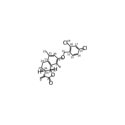 C=C1C(=O)O[C@H]2c3c(C)c(OCc4ccc(Cl)cc4Cl)cc(C)c3CC[C@@H]12